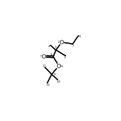 CCOC(C)(C)C(=O)OC(C)(C)C